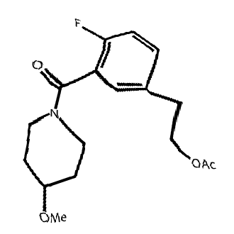 COC1CCN(C(=O)c2cc(CCOC(C)=O)ccc2F)CC1